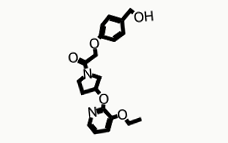 CCOc1cccnc1OC1CCN(C(=O)COc2ccc(CO)cc2)C1